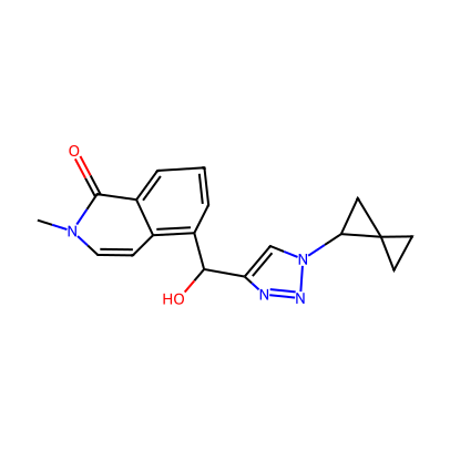 Cn1ccc2c(C(O)c3cn(C4CC45CC5)nn3)cccc2c1=O